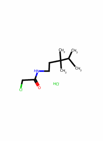 CC(C)C(C)(C)CCNC(=O)CCl.Cl